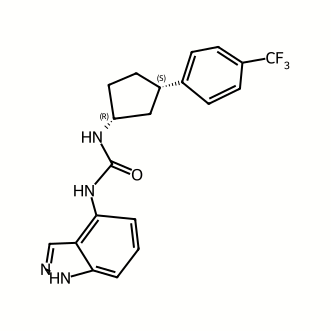 O=C(Nc1cccc2[nH]ncc12)N[C@@H]1CC[C@H](c2ccc(C(F)(F)F)cc2)C1